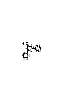 Cc1cc(-c2cnccn2)nc(-c2cnccn2)c1